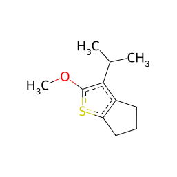 COc1sc2c(c1C(C)C)CCC2